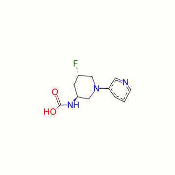 O=C(O)N[C@H]1C[C@H](F)CN(c2cccnc2)C1